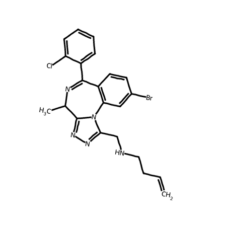 C=CCCNCc1nnc2n1-c1cc(Br)ccc1C(c1ccccc1Cl)=NC2C